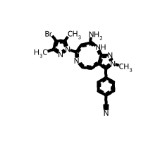 Cc1nn(-c2cc(N)[nH]c3nn(C)c(-c4ccc(C#N)cc4)c3ccn2)c(C)c1Br